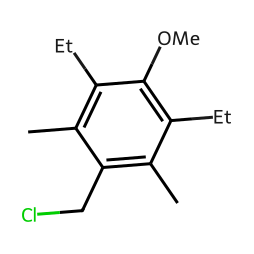 CCc1c(C)c(CCl)c(C)c(CC)c1OC